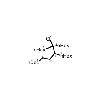 CCCCCCCCCCCCC(CCCCCC)C(Cl)(CCCCCC)CCCCCC